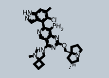 Cc1cc2[nH]ncc2c(-c2ncc3c(NCC4(N(C)C)CCC4)nc(OC[C@@]45CCCN4C[C@H](C)C5)nc3c2P)c1Cl